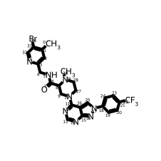 Cc1cc(CNC(=O)C2CN(c3ncnc4nn(-c5ccc(C(F)(F)F)cc5)cc34)CCN2C)ncc1Br